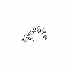 Cc1cccc(N2CCN(C(=O)Cn3nc(C(=O)N4CCC5(CC4)CC5(F)F)c4c3CCC4)CC2)c1C